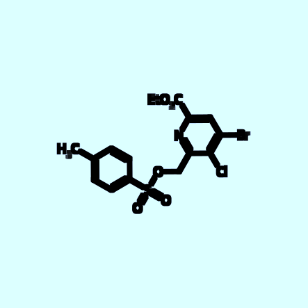 CCOC(=O)c1cc(Br)c(Cl)c(COS(=O)(=O)c2ccc(C)cc2)n1